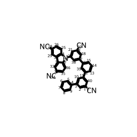 N#Cc1cc(-c2ccccc2)cc(-c2cccc(-c3cc(C#N)cc(-n4c5ccc(C#N)cc5c5cc(C#N)ccc54)c3)c2)c1